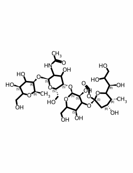 CC(=O)NC1C(O)[C@H](O[C@@H]2OC(CO)[C@H](O)C(O[C@]3(OC=O)C[C@@H](O)[C@@H](C)C([C@H](O)C(O)CO)O3)[C@@H]2O)[C@H](CO)O[C@H]1O[C@@H]1C(O)[C@H](O)C(CO)O[C@@H]1C